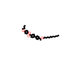 CCCCCCCCCCCCOC(C)c1ccc(-c2ccc(C(=O)Oc3ccc(OC(C)CCC)cc3)cc2)cc1